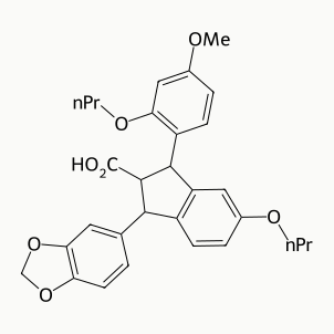 CCCOc1ccc2c(c1)C(c1ccc(OC)cc1OCCC)C(C(=O)O)C2c1ccc2c(c1)OCO2